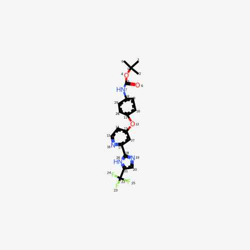 CC(C)(C)OC(=O)Nc1ccc(Oc2ccnc(-c3ncc(C(F)(F)F)[nH]3)c2)cc1